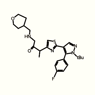 CC(C(=O)CNCC1CCOCC1)c1csc(-c2cnn(C(C)(C)C)c2-c2ccc(F)cc2)n1